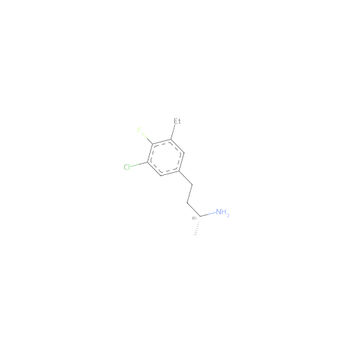 CCc1cc(CC[C@@H](C)N)cc(Cl)c1F